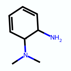 CN(C)[C]1C=CC=CC1N